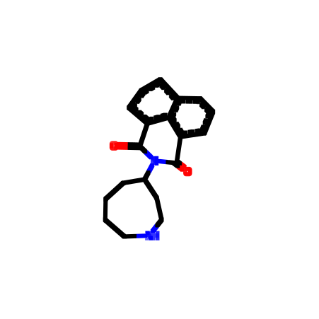 O=C1c2cccc3cccc(c23)C(=O)N1C1CCCCNCC1